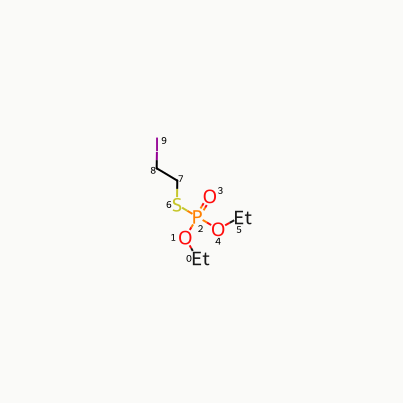 CCOP(=O)(OCC)SCCI